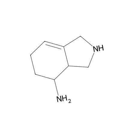 NC1CCC=C2CNCC21